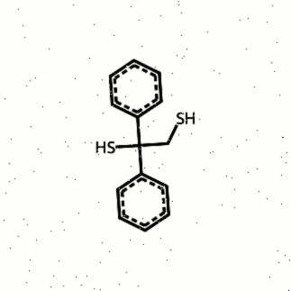 SCC(S)(c1ccccc1)c1ccccc1